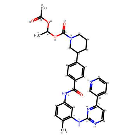 Cc1ccc(NC(=O)c2ccc(C3CCCN(C(=O)OC(C)OC(=O)C(C)(C)C)C3)cc2)cc1Nc1nccc(-c2cccnc2)n1